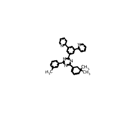 Cc1cccc(-c2nc(C3=CC=CC(C)(C)C3)nc(-c3cc(-c4ccccn4)cc(-c4ccccn4)c3)n2)c1